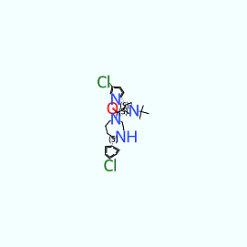 CC(C)(C)N1C[C@@H](C(=O)N2CCC[C@@H](c3ccc(Cl)cc3)NCC2)[C@H](c2ccc(Cl)cn2)C1